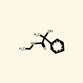 CCNC(=O)C(C)(O)c1ccccc1